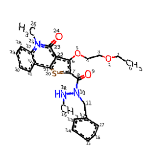 CCOCCOc1c(C(=O)N(Cc2ccccc2)NC)sc2c1c(=O)n(C)c1ccccc21